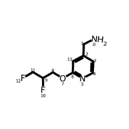 NCc1ccnc(OCC(F)CF)c1